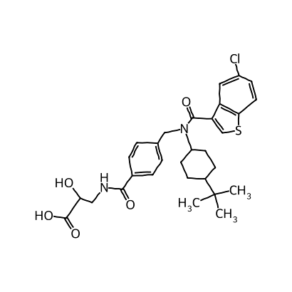 CC(C)(C)C1CCC(N(Cc2ccc(C(=O)NCC(O)C(=O)O)cc2)C(=O)c2csc3ccc(Cl)cc23)CC1